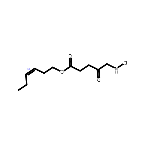 CC/C=C\CCOC(=O)CCC(=O)CNCl